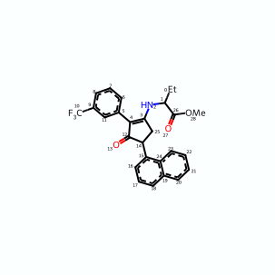 CCC(NC1=C(c2cccc(C(F)(F)F)c2)C(=O)C(c2cccc3ccccc23)C1)C(=O)OC